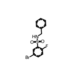 O=S(=O)(NCc1ccccc1)c1cc(Br)ccc1F